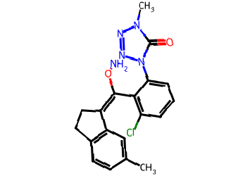 Cc1ccc2c(c1)/C(=C(/ON)c1c(Cl)cccc1-n1nnn(C)c1=O)CC2